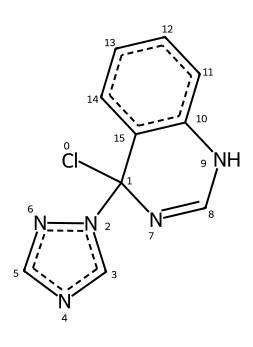 ClC1(n2cncn2)N=CNc2ccccc21